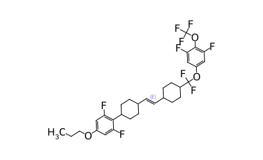 CCCOc1cc(F)c(C2CCC(/C=C/C3CCC(C(F)(F)Oc4cc(F)c(OC(F)(F)F)c(F)c4)CC3)CC2)c(F)c1